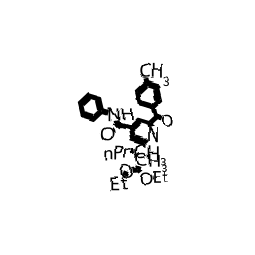 CCCC.CCOC(C)OCC.Cc1ccc(C(=O)c2cc(C(=O)Nc3ccccc3)ccn2)cc1